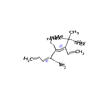 BC(=C/C=C)/C(CNC)=C(\C=C)C(C)(CCCCCC)CCCCCC